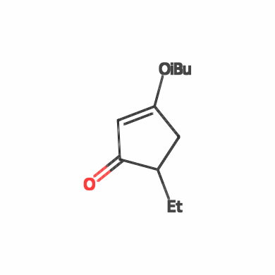 CCC1CC(OCC(C)C)=CC1=O